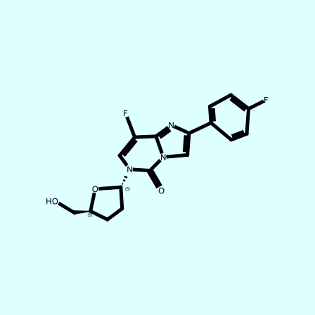 O=c1n([C@@H]2CC[C@@H](CO)O2)cc(F)c2nc(-c3ccc(F)cc3)cn12